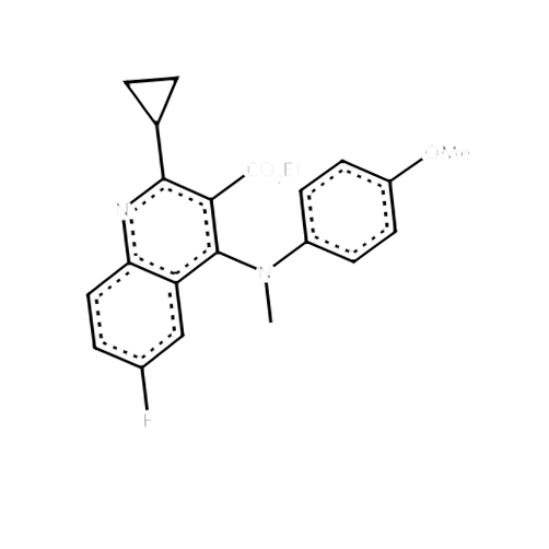 CCOC(=O)c1c(C2CC2)nc2ccc(F)cc2c1N(C)c1ccc(OC)cc1